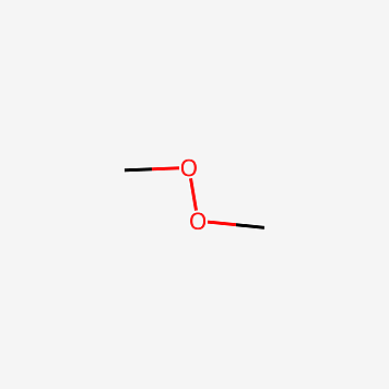 COOC